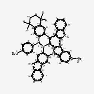 CC(C)(C)c1ccc(N2B3c4cc5sc6ccccc6c5cc4-n4c5ccc(C(C)(C)C)cc5c5c6sc7ccccc7c6c(c3c54)-c3cc4c(cc32)C(C)(C)CCC4(C)C)cc1